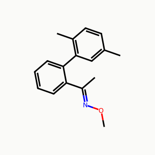 CO/N=C(\C)c1ccccc1-c1cc(C)ccc1C